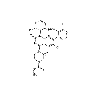 COc1c(F)cccc1-c1nc2c(cc1Cl)c(N1CCN(C(=O)OC(C)(C)C)C[C@@H]1C)nc(=O)n2-c1c(C)ccnc1C(C)C